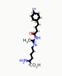 C/C(=N\CCCCC(N)C(=O)O)NC(=O)CCCc1ccc(I)cc1